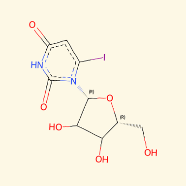 O=c1cc(I)n([C@@H]2O[C@H](CO)C(O)C2O)c(=O)[nH]1